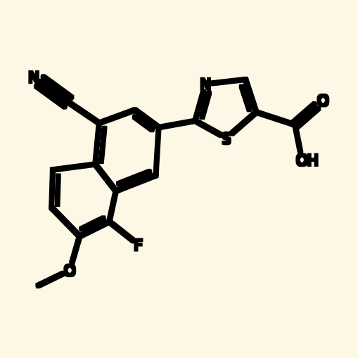 COc1ccc2c(C#N)cc(-c3ncc(C(=O)O)s3)cc2c1F